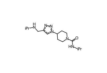 CC(C)NCc1cn(C2CCN(C(=O)NC(C)C)CC2)nn1